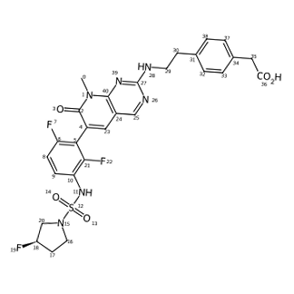 Cn1c(=O)c(-c2c(F)ccc(NS(=O)(=O)N3CC[C@@H](F)C3)c2F)cc2cnc(NCCc3ccc(CC(=O)O)cc3)nc21